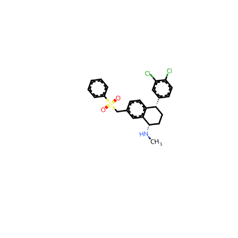 CN[C@H]1CC[C@@H](c2ccc(Cl)c(Cl)c2)c2ccc(CS(=O)(=O)c3ccccc3)cc21